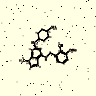 COc1cccc(CNc2nc(NC3CCC(N)CC3)nc3c2nnn3C)c1O